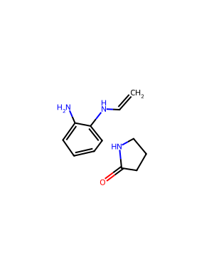 C=CNc1ccccc1N.O=C1CCCN1